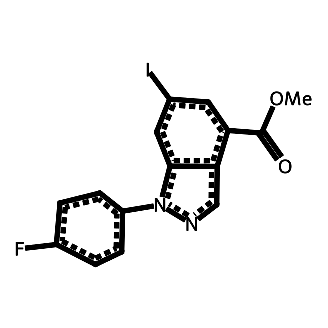 COC(=O)c1cc(I)cc2c1cnn2-c1ccc(F)cc1